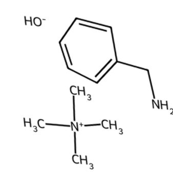 C[N+](C)(C)C.NCc1ccccc1.[OH-]